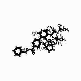 Cc1nc(C)c([C@H](OC(C)(C)C)C(=O)OC(C)C)c(N2C[C@H]3CC[C@](C)(C2)C3(C)C)c1-c1ccc(C(=O)NCc2ccccc2)cc1